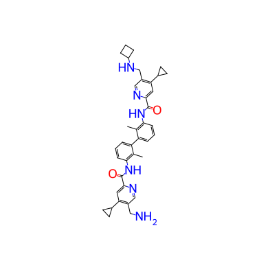 Cc1c(NC(=O)c2cc(C3CC3)c(CN)cn2)cccc1-c1cccc(NC(=O)c2cc(C3CC3)c(CNC3CCC3)cn2)c1C